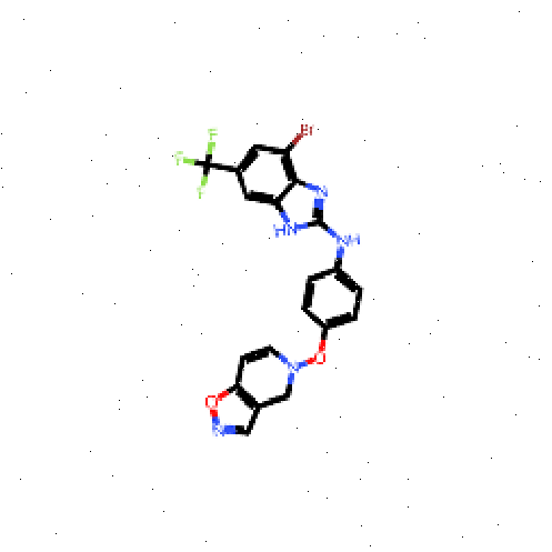 FC(F)(F)c1cc(Br)c2nc(Nc3ccc(ON4C=Cc5oncc5C4)cc3)[nH]c2c1